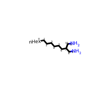 CCCCCCCCCCCCC(CN)CN